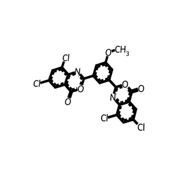 COc1cc(-c2nc3c(Cl)cc(Cl)cc3c(=O)o2)cc(-c2nc3c(Cl)cc(Cl)cc3c(=O)o2)c1